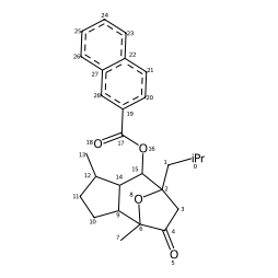 CC(C)CC12CC(=O)C(C)(O1)C1CCC(C)C1C2OC(=O)c1ccc2ccccc2c1